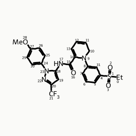 CCS(=O)(=O)c1cccc(N2CC=CC=C2C(=O)Nc2cc(C(F)(F)F)nn2-c2ccc(OC)cc2)c1